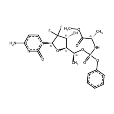 COC(=O)[C@H](C)NP(=O)(Oc1ccccc1)O[C@@H](C)[C@H]1O[C@@H](n2ccc(N)nc2=O)C(F)(F)[C@@H]1O